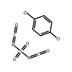 Clc1ccc(Cl)cc1.O=C=NS(=O)(=O)N=C=O